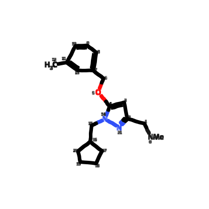 CNCc1cc(OCc2cccc(C)c2)n(CC2CCCC2)n1